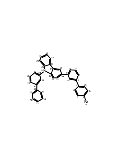 Brc1ccc(-c2cccc(-c3ccc4c(c3)c3ccccc3n4-c3cccc(-c4ccccc4)c3)c2)cc1